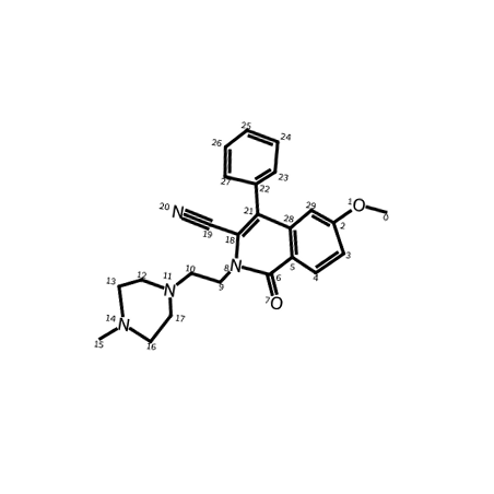 COc1ccc2c(=O)n(CCN3CCN(C)CC3)c(C#N)c(-c3ccccc3)c2c1